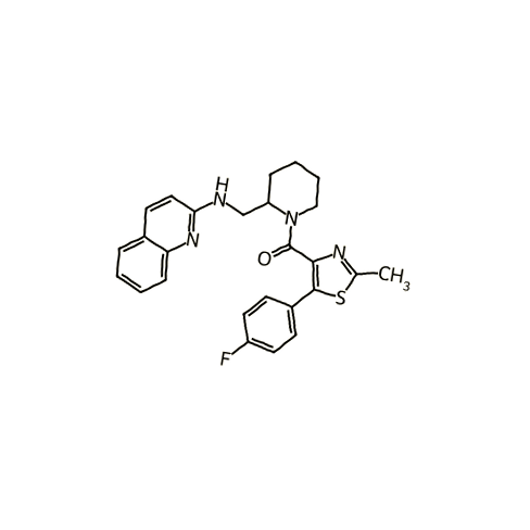 Cc1nc(C(=O)N2CCCCC2CNc2ccc3ccccc3n2)c(-c2ccc(F)cc2)s1